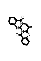 Cc1cn2c(=O)c3ccccc3nc2n2c(=O)c3ccccc3nc12